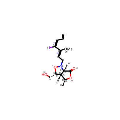 C=C/C=C(I)\C(=C\CN1O[C@@H](CO)[C@H]2[C@H](C)OC(=O)[C@H]21)OC